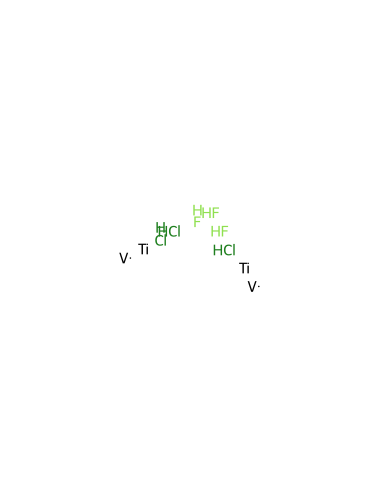 Cl.Cl.Cl.F.F.F.[Ti].[Ti].[V].[V]